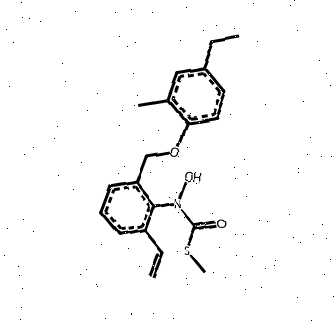 C=Cc1cccc(COc2ccc(CC)cc2C)c1N(O)C(=O)SC